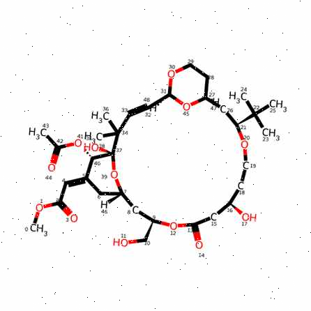 COC(=O)/C=C1\C[C@H]2C[C@H](CO)OC(=O)C[C@H](O)CCO[C@H](C(C)(C)C)C[C@@H]3CCO[C@H](/C=C/C(C)(C)[C@](O)(O2)[C@H]1OC(C)=O)O3